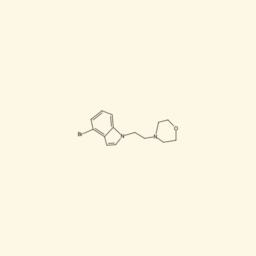 Brc1cccc2c1ccn2CCN1CCOCC1